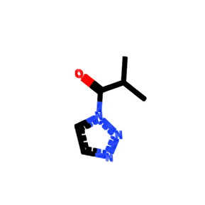 CC(C)C(=O)n1ccnn1